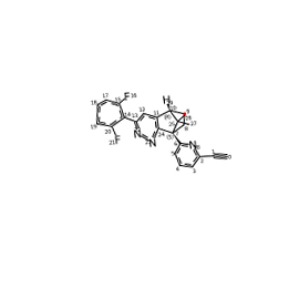 C#Cc1cccc([C@@]23CC[C@@H](c4cc(-c5c(F)cccc5F)nnc42)C3(C)C)n1